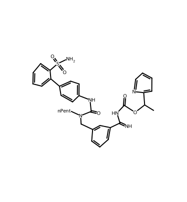 CCCCCN(Cc1cccc(C(=N)NC(=O)OC(C)c2ccccn2)c1)C(=O)Nc1ccc(-c2ccccc2S(N)(=O)=O)cc1